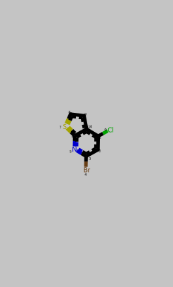 Clc1cc(Br)nc2sccc12